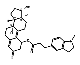 CC(=O)[C@H]1CC[C@H]2[C@@H]3CCC4=CC(=O)CC(OC(=O)CCc5ccc6c(c5)CCN6C)C4=C3CC[C@]12C